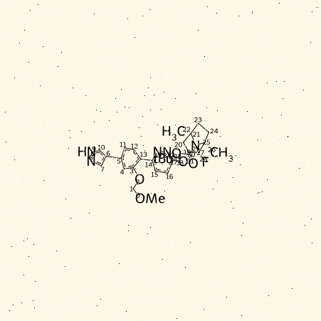 COCOc1cc(-c2cn[nH]c2)ccc1-c1ccc(O[C@@H]2C[C@@]3(C)CC[C@@](C)([C@@H]2F)N3C(=O)OC(C)(C)C)nn1